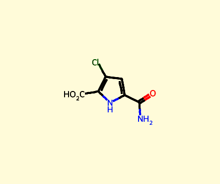 NC(=O)c1cc(Cl)c(C(=O)O)[nH]1